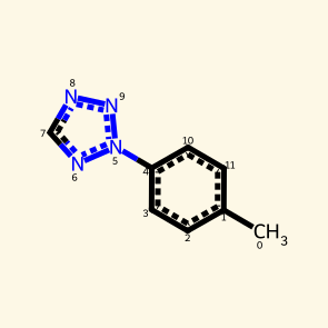 Cc1ccc(-n2ncnn2)cc1